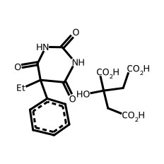 CCC1(c2ccccc2)C(=O)NC(=O)NC1=O.O=C(O)CC(O)(CC(=O)O)C(=O)O